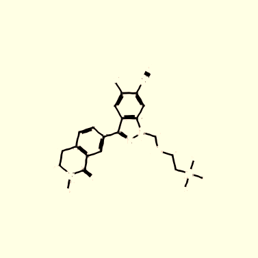 [C-]#[N+]c1cc2c(cc1Cl)c(-c1ccc3c(c1)C(=O)N(C)CC3)nn2COCC[Si](C)(C)C